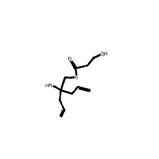 C=CCC(CC=C)(CCC)COC(=O)CCO